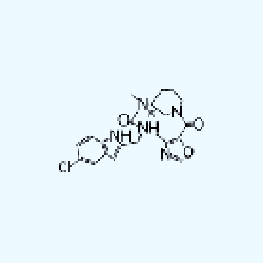 Cc1ncoc1C(=O)N1CCC[C@@H](N(C)C(=O)NCc2cc3cc(Cl)ccc3[nH]2)C1